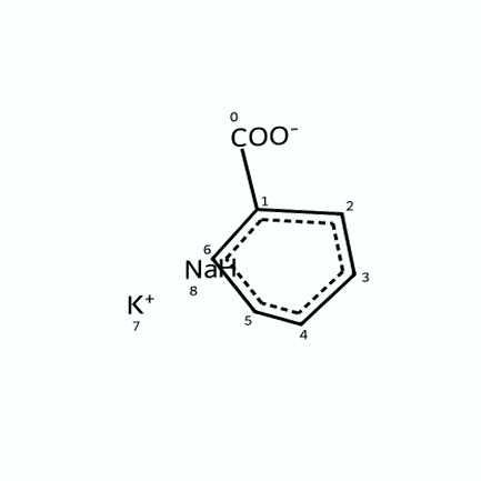 O=C([O-])c1ccccc1.[K+].[NaH]